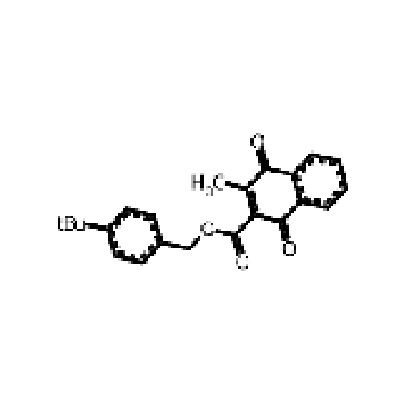 CC1=C(C(=O)OCc2ccc(C(C)(C)C)cc2)C(=O)c2ccccc2C1=O